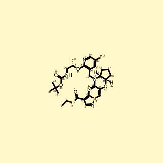 CCOC(=O)c1cnn2cc3c(nc12)N(Cc1cc(F)cnc1O[C@@H](C)CNC(=O)OC(C)(C)C)[C@@H]1CCC[C@@H]1O3